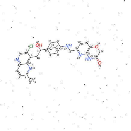 Cc1ccc2ncc(Cl)c(CC(O)C34CCC(NCc5ccc6c(n5)NC(=O)CO6)(CC3)CC4)c2n1